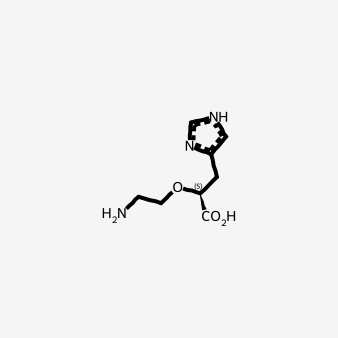 NCCO[C@@H](Cc1c[nH]cn1)C(=O)O